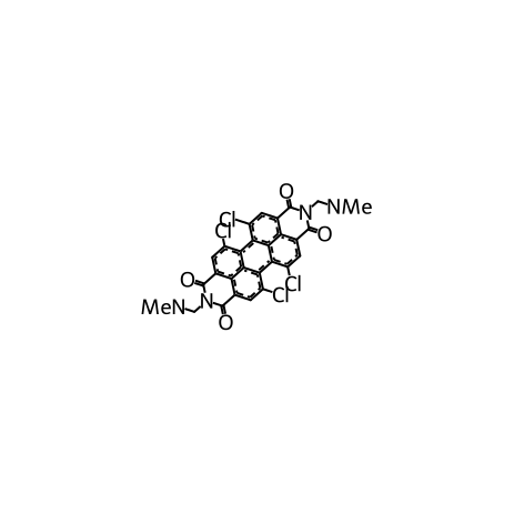 CNCN1C(=O)c2cc(Cl)c3c4c(Cl)cc5c6c(cc(Cl)c(c7c(Cl)cc(c2c37)C1=O)c64)C(=O)N(CNC)C5=O